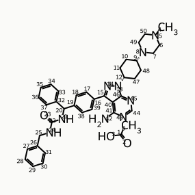 CC(=O)O.CN1CCN([C@H]2CC[C@@H](n3nc(-c4ccc(C(NC(=O)NCc5ccccc5)c5ccccc5)cc4)c4c(N)ncnc43)CC2)CC1